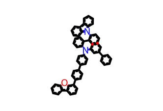 c1ccc(-c2cccc(N(c3ccc(-c4ccc(-c5cccc6c5oc5ccccc56)cc4)cc3)c3ccccc3-c3ccccc3-n3c4ccccc4c4ccccc43)c2)cc1